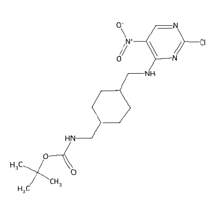 CC(C)(C)OC(=O)NCC1CCC(CNc2nc(Cl)ncc2[N+](=O)[O-])CC1